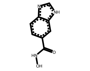 O=C(NO)c1ccc2nc[nH]c2c1